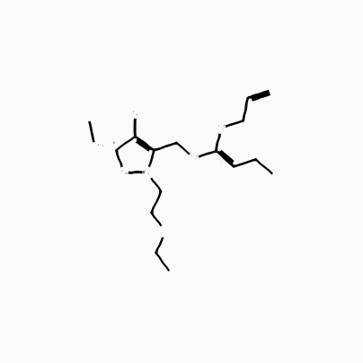 C=CCN/C(=C\CC)NCC1=C(N)[C@@H](CC)NN1CCOCC